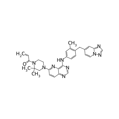 C=CC(=O)N1CCN(c2ccc3ncnc(Nc4ccc(Cc5ccn6ncnc6c5)c(C)c4)c3n2)CC1(C)C